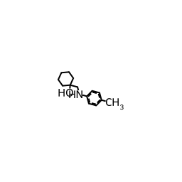 Cc1ccc(NCC2(O)CCCCC2)cc1